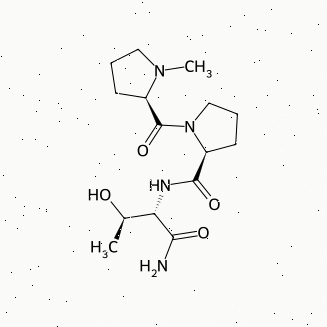 C[C@@H](O)[C@H](NC(=O)[C@@H]1CCCN1C(=O)[C@H]1CCCN1C)C(N)=O